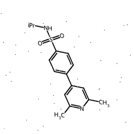 Cc1cc(-c2ccc(S(=O)(=O)NC(C)C)cc2)cc(C)n1